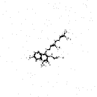 CCCC(C)COc1c(OC/C=C(\C)CCC=C(C)C)c2ccc([N+](=O)[O-])cc2n(C)c1=O